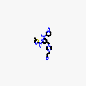 Cc1cnc(Nc2cc(CN3CCN(CCC#N)CC3)cc(N[C@H]3CCCNC3)n2)s1